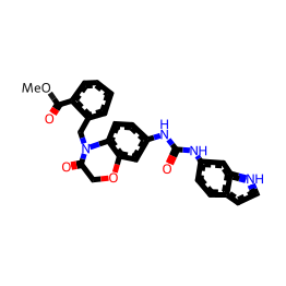 COC(=O)c1ccccc1CN1C(=O)COc2cc(NC(=O)Nc3ccc4cc[nH]c4c3)ccc21